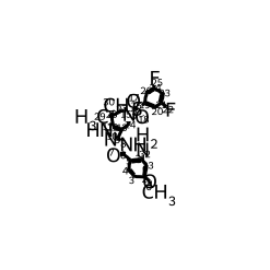 COc1ccc(C(=O)Nc2n[nH]c3c2CN(S(=O)(=O)c2cc(F)cc(F)c2)CC3(C)C)c(N)c1